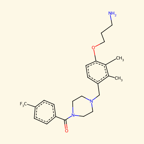 Cc1c(CN2CCN(C(=O)c3ccc(C(F)(F)F)cc3)CC2)ccc(OCCCN)c1C